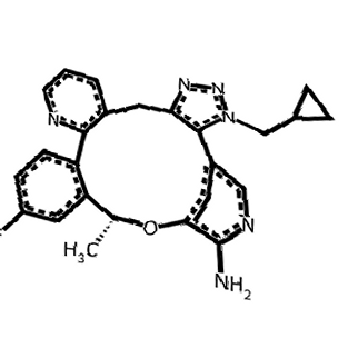 C[C@H]1Oc2cc(cnc2N)-c2c(nnn2CC2CC2)Cc2cccnc2-c2ccc(F)cc21